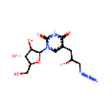 [N-]=[N+]=NCC(O)Cc1cn(C2OC(CO)[C@H](O)C2O)c(=O)[nH]c1=O